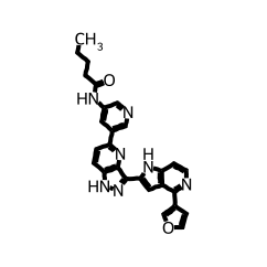 CCCCC(=O)Nc1cncc(-c2ccc3[nH]nc(-c4cc5c(-c6ccoc6)nccc5[nH]4)c3n2)c1